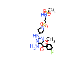 COc1ccc(F)cc1C(=O)c1cnc(NC2CCN(S(=O)(=O)CCCNS(C)(=O)=O)CC2)nc1N